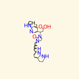 CNc1ccc(C(CC(=O)O)N2CCN(CCCC3=CC=C4CCCNC4N3)C2=O)cn1